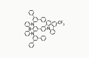 FC(F)(F)c1cccc(-c2ccccc2-n2c3ccccc3c3cc(-c4cc5c6c(c4)N(c4cc(-c7ccccc7)cc(-c7ccccc7)c4)c4ccccc4B6c4ccccc4N5c4cc(-c5ccccc5)cc(-c5ccccc5)c4)ccc32)c1